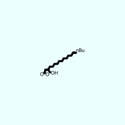 CCCCC=CCCCCCCCCCCC1=CC(=O)OC1O